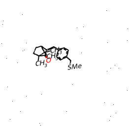 CSCc1ccc(C=C2C(=O)C3(C)CCC2C3(C)C)cc1